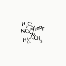 CCC[C@@H](C)C(C)(C)C#N